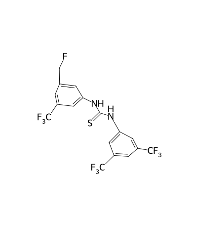 FCc1cc(NC(=S)Nc2cc(C(F)(F)F)cc(C(F)(F)F)c2)cc(C(F)(F)F)c1